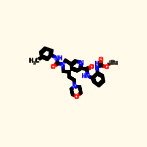 Cc1cccc(NC(=O)N(CCCCN2CCOCC2)Cc2ccc(C(=O)Nc3ccccc3NC(=O)OC(C)(C)C)nc2)c1